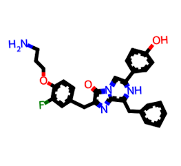 NCCCOc1ccc(Cc2nc3c(Cc4ccccc4)[nH]c(-c4ccc(O)cc4)cn-3c2=O)cc1F